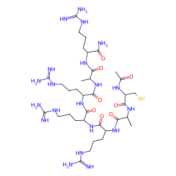 CC(=O)NC(CS)C(=O)NC(C)C(=O)NC(CCCNC(=N)N)C(=O)NC(CCCNC(=N)N)C(=O)NC(CCCNC(=N)N)C(=O)NC(C)C(=O)NC(CCCNC(=N)N)C(N)=O